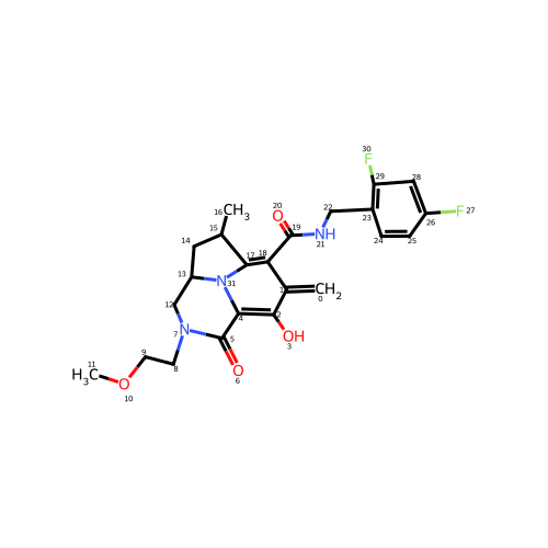 C=C1C(O)=C2C(=O)N(CCOC)CC3CC(C)C(=C1C(=O)NCc1ccc(F)cc1F)N23